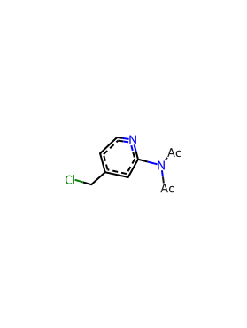 CC(=O)N(C(C)=O)c1cc(CCl)ccn1